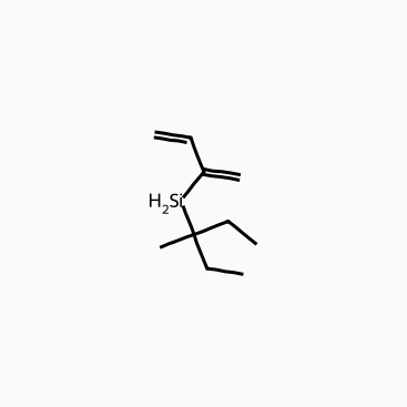 C=CC(=C)[SiH2]C(C)(CC)CC